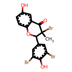 CC1(Br)C(=O)c2cc(O)ccc2OC1c1cc(Br)c(O)c(Br)c1